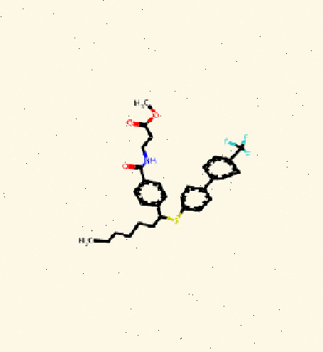 CCCCCCC(Sc1ccc(-c2ccc(C(F)(F)F)cc2)cc1)c1ccc(C(=O)NCCC(=O)OC)cc1